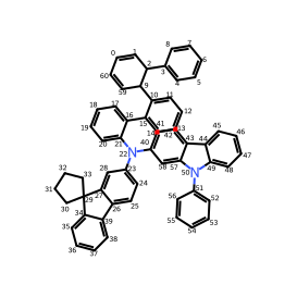 C1=CC(c2ccccc2)C(c2ccccc2-c2ccccc2N(c2ccc3c(c2)C2(CCCC2)c2ccccc2-3)c2ccc3c4ccccc4n(-c4ccccc4)c3c2)C=C1